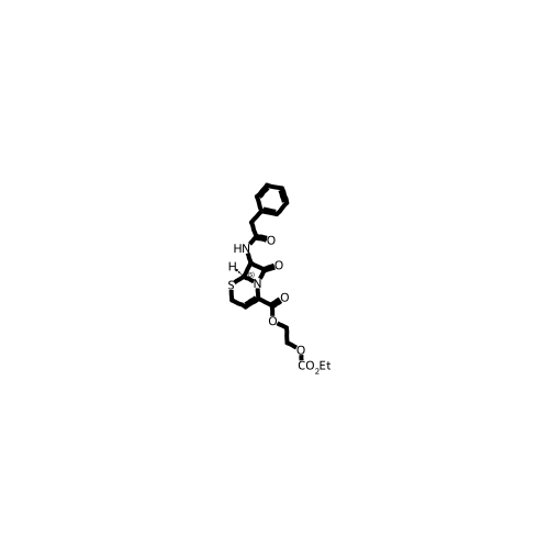 CCOC(=O)OCCOC(=O)C1=CCS[C@H]2C(NC(=O)Cc3ccccc3)C(=O)N12